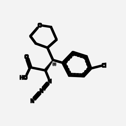 [N-]=[N+]=NC(C(=O)O)[C@@H](c1ccc(Cl)cc1)C1CCOCC1